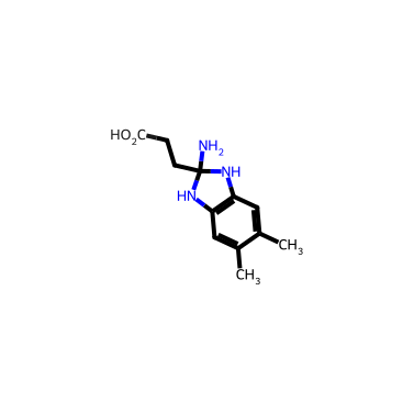 Cc1cc2c(cc1C)NC(N)(CCC(=O)O)N2